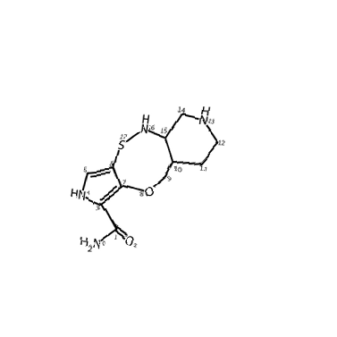 NC(=O)c1[nH]cc2c1OCC1CCNCC1NS2